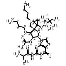 CCCCOC[C@@]1(C2(O[Si](C)(C)C(C)(C)C)CC2)O[C@@H](n2cnc3c(=O)[nH]c(NC(=O)C(C)C)nc32)[C@@H](OC(C)=O)C1OCCCC